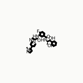 Cn1nccc1-c1ccn2c(C(=O)Nc3cc(C(=O)N[C@H](CO)[C@H](O)c4ccccc4)ccc3F)cnc2c1